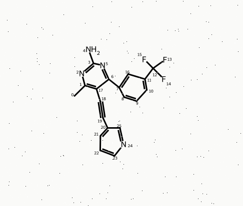 Cc1nc(N)nc(-c2cccc(C(F)(F)F)c2)c1C#Cc1cccnc1